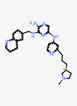 CN1CC[C@H](CCCc2cc(Nc3cnc(N)c(NCc4ccc5ncccc5c4)n3)ccn2)C1